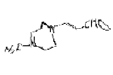 CN1CCN(C=CC=O)CC1